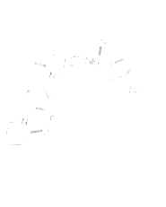 O=C(NC[C@H]1CN(c2ccc(N3CCCCC3=O)c(F)c2)C(=O)O1)c1ccc(Br)s1